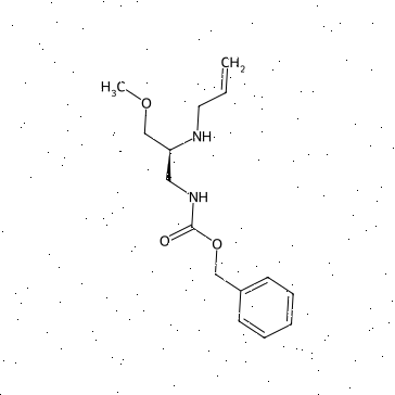 C=CCN[C@@H](CNC(=O)OCc1ccccc1)COC